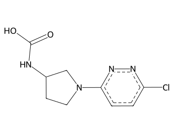 O=C(O)NC1CCN(c2ccc(Cl)nn2)C1